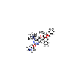 N#Cc1ccccc1Oc1cc2c(N3C[C@H]4CC[C@@H](C3)N4C(=O)O)nc(OCC34CCCN3CCC4)nc2cc1-c1cc(OCc2ccccc2)cc2ccccc12